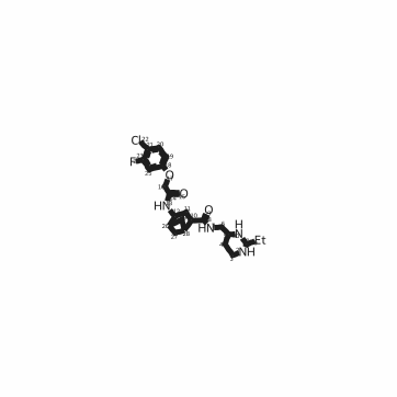 CCC1NCCC(CNC(=O)C2CC(NC(=O)COc3ccc(Cl)c(F)c3)C3CC2C3)N1